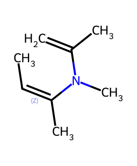 C=C(C)N(C)/C(C)=C\C